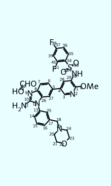 COc1ncc(-c2ccc3nc(N)n(-c4cccc(CN5CCOCC5)c4)c3c2)cc1NS(=O)(=O)c1ccc(F)cc1F.O=CO